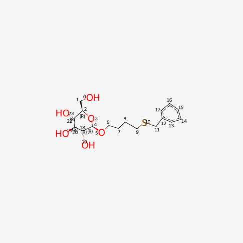 OC[C@H]1O[C@@H](OCCCCSCc2ccccc2)[C@H](O)[C@@H](O)[C@@H]1O